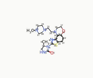 CC1CNC(=O)N1c1nc2c3c(ccc2s1)OCCN3CCN1CCN(C)CC1